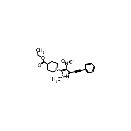 CCOC(=O)C1CCN(c2c([N+](=O)[O-])c(C#Cc3ccccc3)nn2C)CC1